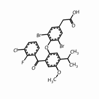 COc1cc(C(=O)c2cccc(Cl)c2F)c(Oc2c(Br)cc(CC(=O)O)cc2Br)cc1C(C)C